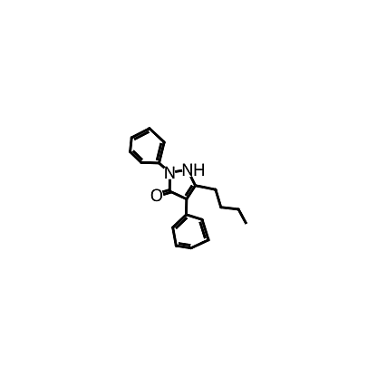 CCCCc1[nH]n(-c2ccccc2)c(=O)c1-c1ccccc1